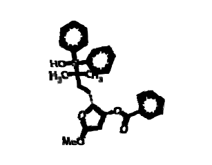 COC1C[C@H](OC(=O)c2ccccc2)[C@@H](CCC(C)(C)[Si](O)(c2ccccc2)c2ccccc2)O1